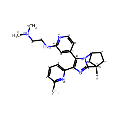 Cc1cccc(-c2nc3n(c2-c2ccnc(NCCN(C)C)c2)C2CC[C@H]3C2)n1